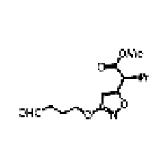 COC(=O)C(c1cc(OCCCC=O)no1)C(C)C